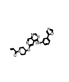 C=CC(=O)N1CCC(Oc2cc3c(Nc4cccc(-c5cnco5)c4)ncnc3cn2)CC1